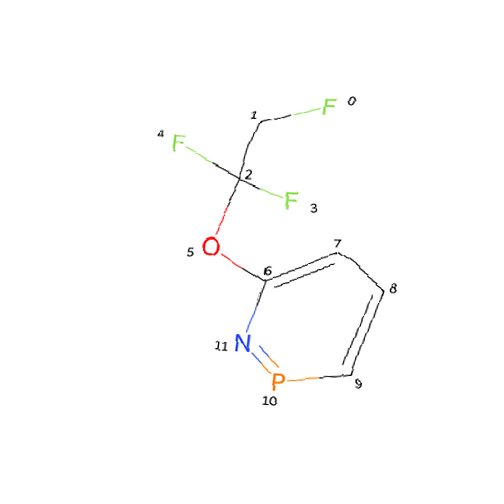 FCC(F)(F)Oc1cccpn1